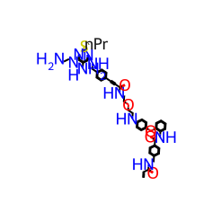 C=CC(=O)NCc1ccc(C(=O)Nc2ccccc2Oc2ccc(NCCOCCNC(=O)C#Cc3ccc(CNc4nc(SCCC)nc(NCCN)c4N)cc3)cc2)cc1